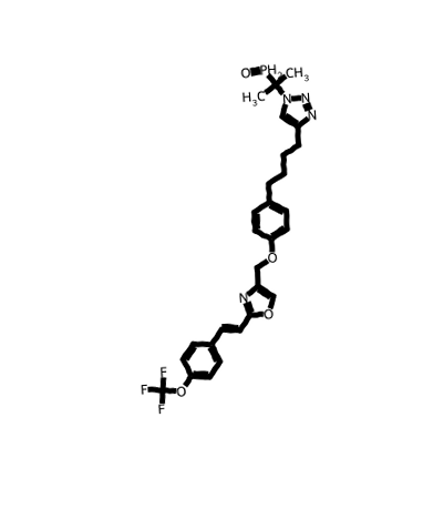 CC(C)([PH2]=O)n1cc(CCCCc2ccc(OCc3coc(C=Cc4ccc(OC(F)(F)F)cc4)n3)cc2)nn1